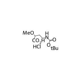 COC(CCNC(=O)OC(C)(C)C)C(=O)O.Cl